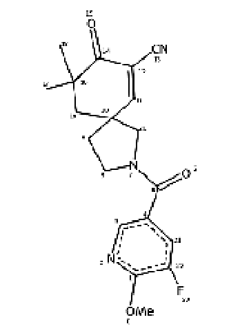 COc1ncc(C(=O)N2CCC3(C=C(C#N)C(=O)C(C)(C)C3)C2)cc1F